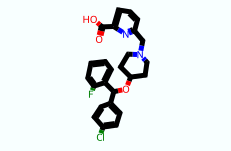 O=C(O)c1cccc(CN2CCC(OC(c3ccc(Cl)cc3)c3ccccc3F)CC2)n1